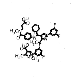 CC1=N[N+](C)(c2cc(F)cc(F)c2)C=C1C(=O)O.CCc1nn(-c2cc(F)cc(F)c2)cc1C(Nc1ccc(C(=O)N(C)CCC(=O)O)cc1)C1CCCCC1